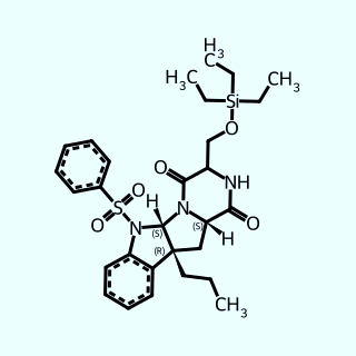 CCC[C@]12C[C@H]3C(=O)NC(CO[Si](CC)(CC)CC)C(=O)N3[C@H]1N(S(=O)(=O)c1ccccc1)c1ccccc12